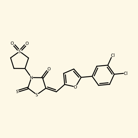 O=C1/C(=C\c2ccc(-c3ccc(Cl)c(Cl)c3)o2)SC(=S)N1C1CCS(=O)(=O)C1